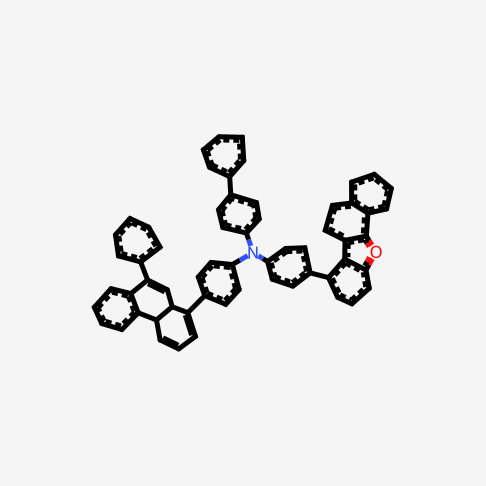 C1=CC2c3ccccc3C(c3ccccc3)=CC2C(c2ccc(N(c3ccc(-c4ccccc4)cc3)c3ccc(-c4cccc5oc6c7ccccc7ccc6c45)cc3)cc2)=C1